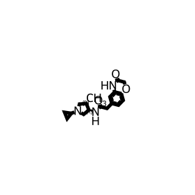 C[C@@H]1CN(C2CC2)C[C@@H]1NC(=O)Cc1ccc2c(c1)NC(=O)CO2